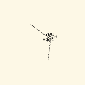 CCCCCCCCCCCCCCCCCCCCc1c(C(=O)O)cc(C(=O)O)c(CCCCCCCCCCCCCCCCCCCC)c1C(=O)O